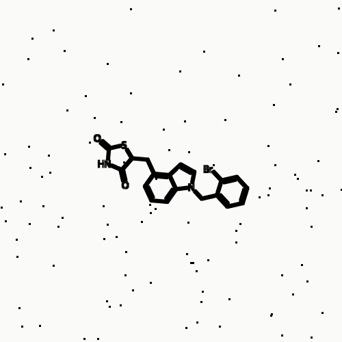 O=C1NC(=O)C(Cc2cccc3c2ccn3Cc2ccccc2Br)S1